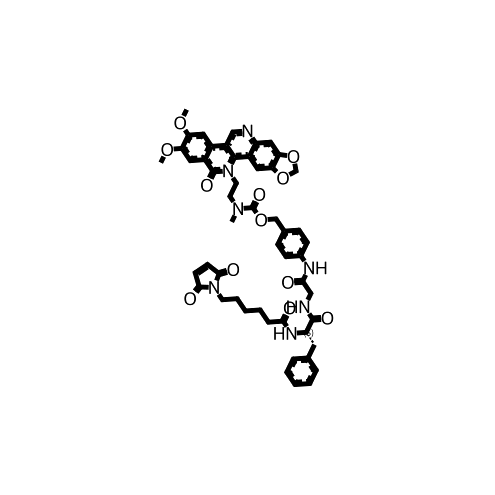 COc1cc2c(=O)n(CCN(C)C(=O)OCc3ccc(NC(=O)CNC(=O)[C@H](Cc4ccccc4)NC(=O)CCCCCN4C(=O)C=CC4=O)cc3)c3c4cc5c(cc4ncc3c2cc1OC)OCO5